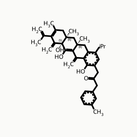 C=C(C)C1=C(C)C[C@@]2(C)C[C@@]3(C)Cc4c(C(C)C)cc(CC(=O)Cc5cccc(C)c5)c(O)c4C(=C)C3=C(O)[C@@]2(O)C1=C